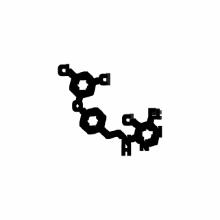 CCc1ncnc(NCCc2ccc(Oc3cc(Cl)cc(Cl)c3)cc2)c1Cl